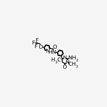 CN1C(=O)C[C@@](C)(c2cccc(NC(=O)c3ccc(OCC(F)(F)F)cn3)c2)N=C1N